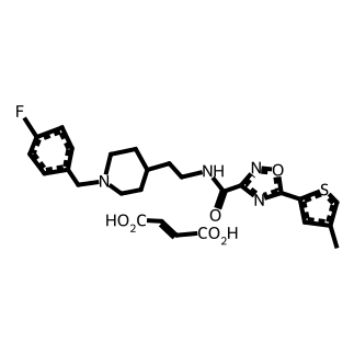 Cc1csc(-c2nc(C(=O)NCCC3CCN(Cc4ccc(F)cc4)CC3)no2)c1.O=C(O)C=CC(=O)O